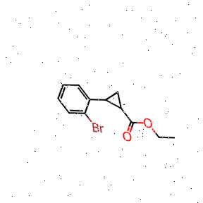 CCOC(=O)C1CC1c1ccccc1Br